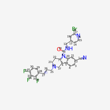 N#Cc1ccc2c3c(n(C(=O)NCc4ccnc(Br)c4)c2c1)CCN(C/C=C/c1ccc(F)c(F)c1F)C3